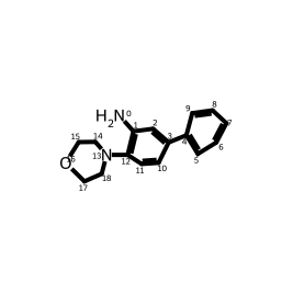 Nc1cc(-c2ccccc2)ccc1N1CCOCC1